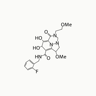 COCCN1CN2CC(OC)C3=C(C(=O)NCc4ccccc4F)C(O)C(O)=C(C1=O)N32